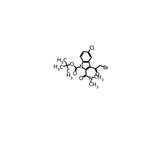 CN(C)C(=O)c1c(C(=O)CBr)c2cc(Cl)ccc2n1C(=O)OC(C)(C)C